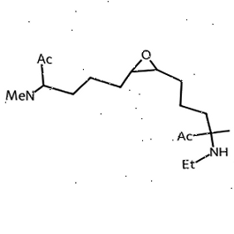 CCNC(C)(CCCC1OC1CCCC(NC)C(C)=O)C(C)=O